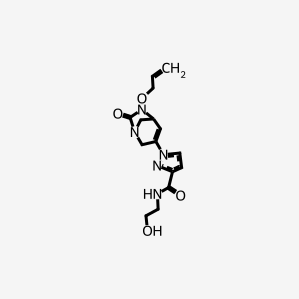 C=CCON1C(=O)N2CC(n3ccc(C(=O)NCCO)n3)=CC1C2